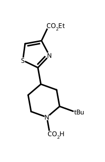 CCOC(=O)c1csc(C2CCN(C(=O)O)C(C(C)(C)C)C2)n1